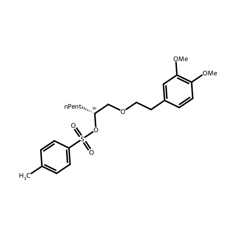 CCCCC[C@H](COCCc1ccc(OC)c(OC)c1)OS(=O)(=O)c1ccc(C)cc1